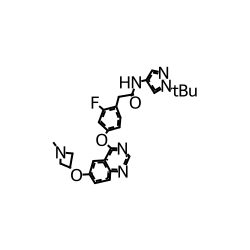 CN1CC(Oc2ccc3ncnc(Oc4ccc(CC(=O)Nc5cnn(C(C)(C)C)c5)c(F)c4)c3c2)C1